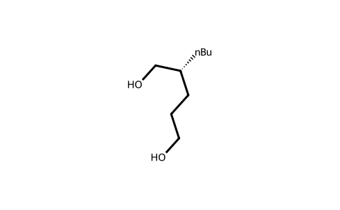 CCCC[C@@H](CO)CCCO